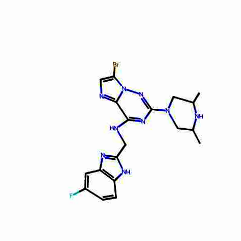 CC1CN(c2nc(NCc3nc4cc(F)ccc4[nH]3)c3ncc(Br)n3n2)CC(C)N1